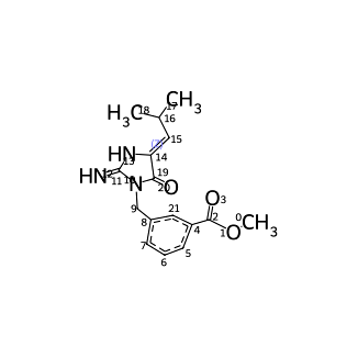 COC(=O)c1cccc(CN2C(=N)N/C(=C\C(C)C)C2=O)c1